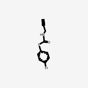 C#CCNC(=O)Sc1ccc(CC)cc1